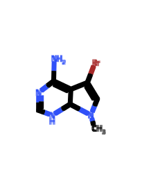 CN1C=C(Br)C2=C(N)N=CNC21